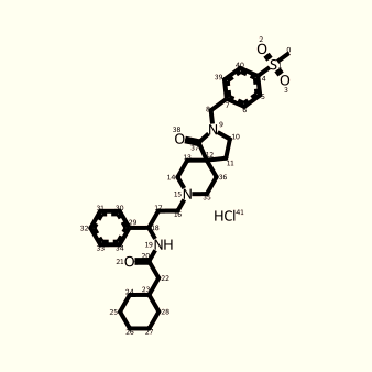 CS(=O)(=O)c1ccc(CN2CCC3(CCN(CCC(NC(=O)CC4CCCCC4)c4ccccc4)CC3)C2=O)cc1.Cl